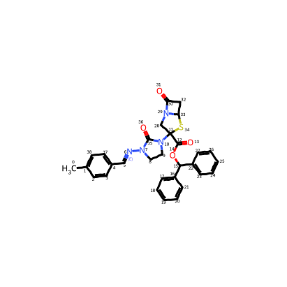 Cc1ccc(/C=N/N2CCN(C3(C(=O)OC(c4ccccc4)c4ccccc4)CN4C(=O)CC4S3)C2=O)cc1